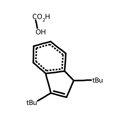 CC(C)(C)C1=CC(C(C)(C)C)c2ccccc21.O=C(O)O